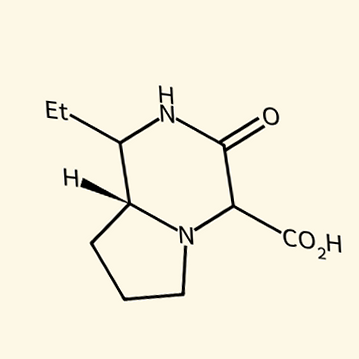 CCC1NC(=O)C(C(=O)O)N2CCC[C@H]12